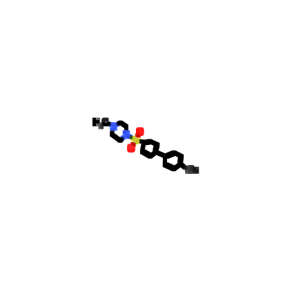 CN1CCN(S(=O)(=O)c2ccc(-c3ccc(C(C)(C)C)cc3)cc2)CC1